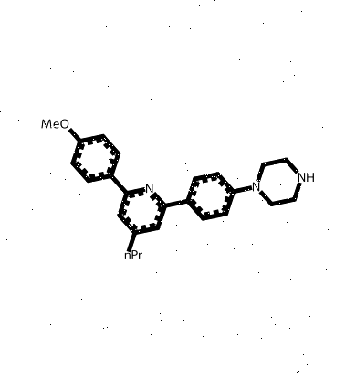 CCCc1cc(-c2ccc(OC)cc2)nc(-c2ccc(N3CCNCC3)cc2)c1